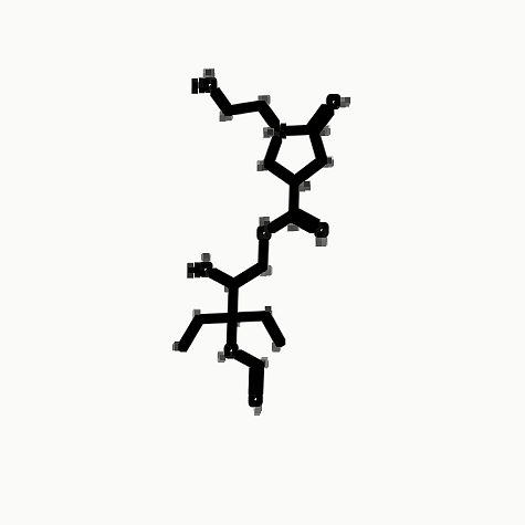 CCC(CC)(OC=O)C(O)COC(=O)C1CC(=O)N(CCO)C1